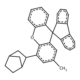 Cc1cc(C2CC3CCC2C3)c2c(c1)C1(c3ccccc3O2)c2ccccc2-c2ccccc21